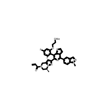 C=CC(=O)N1Cc2cc(-c3nc(-c4ccc5c(cnn5C)c4)c4ccsc4c3-c3c(F)cc(F)cc3OCCOC)nn2[C@@H](C)C1